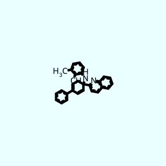 Cc1cccc(NC2(c3ccc4ccccc4n3)C=CC(c3ccccc3)=CC2)c1C